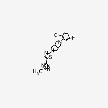 Cn1nnc(-c2cnc(N3CC4CN(c5cc(F)ccc5Cl)CC4C3)s2)n1